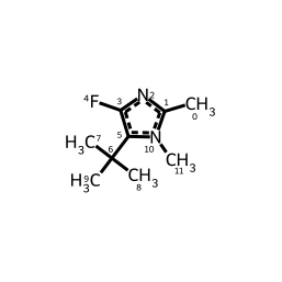 Cc1nc(F)c(C(C)(C)C)n1C